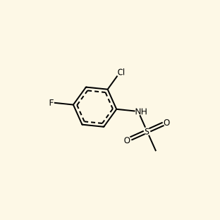 CS(=O)(=O)Nc1ccc(F)cc1Cl